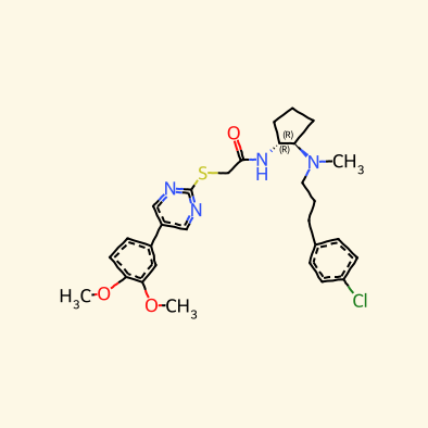 COc1ccc(-c2cnc(SCC(=O)N[C@@H]3CCC[C@H]3N(C)CCCc3ccc(Cl)cc3)nc2)cc1OC